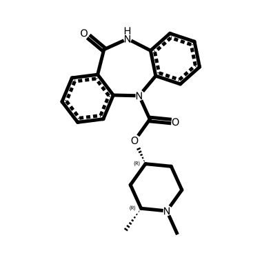 C[C@@H]1C[C@H](OC(=O)N2c3ccccc3NC(=O)c3ccccc32)CCN1C